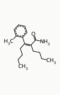 CCCCC(C(N)=O)=C(CCCC)c1ccccc1C